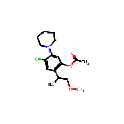 COCC(C)c1cc(Cl)c(N2CCCCC2)cc1OC(C)=O